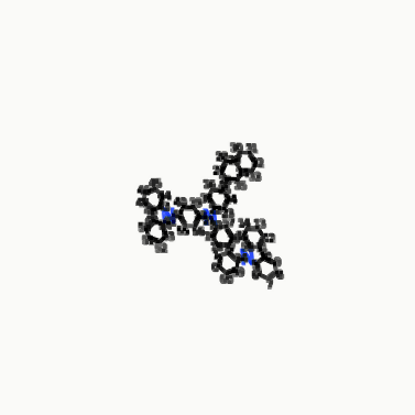 c1ccc(-n2c3ccccc3c3cccc(-c4cccc(N(c5ccc(-c6ccc7ccccc7c6)cc5)c5ccc(-n6c7ccccc7c7ccccc76)cc5)c4)c32)cc1